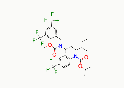 CCC(C)C1CC(N(Cc2cc(C(F)(F)F)cc(C(F)(F)F)c2)C(=O)OC)c2cc(C(F)(F)F)ccc2N1C(=O)OC(C)C